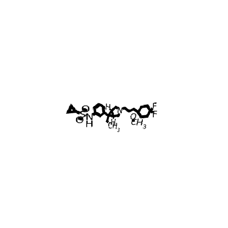 CCC1(c2cccc(NS(=O)(=O)C3CC3)c2)[C@@H]2CN(CCCC3(OC)CCC(F)(F)CC3)C[C@@H]21